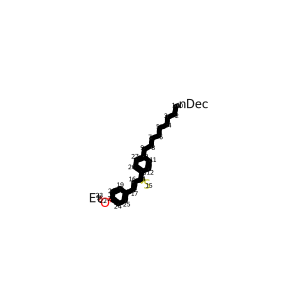 CCCCCCCCCCCCCCCCCCCc1ccc(C(=S)C=Cc2ccc(OCC)cc2)cc1